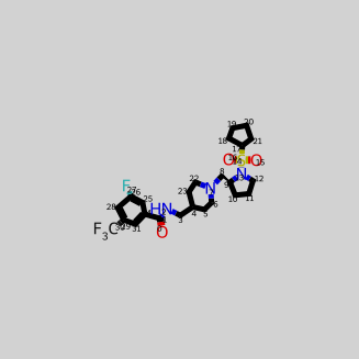 O=C(NCC1CCN(C[C@@H]2CCCN2S(=O)(=O)C2CCCC2)CC1)c1cc(F)cc(C(F)(F)F)c1